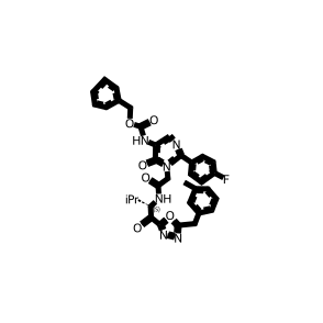 Cc1cccc(Cc2nnc(C(=O)[C@@H](NC(=O)Cn3c(-c4ccc(F)cc4)ncc(NC(=O)OCc4ccccc4)c3=O)C(C)C)o2)c1